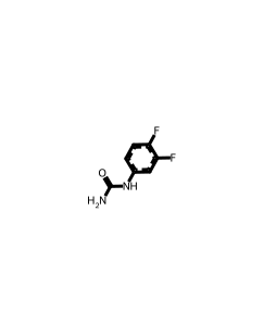 NC(=O)Nc1ccc(F)c(F)c1